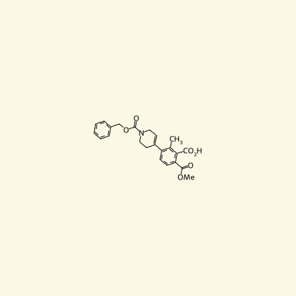 COC(=O)c1ccc(C2=CCN(C(=O)OCc3ccccc3)CC2)c(C)c1C(=O)O